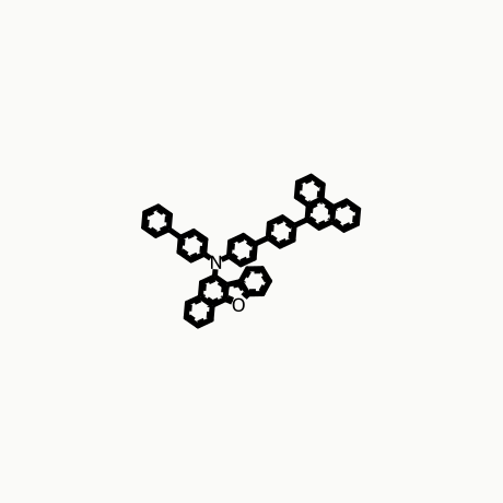 c1ccc(-c2ccc(N(c3ccc(-c4ccc(-c5cc6ccccc6c6ccccc56)cc4)cc3)c3cc4ccccc4c4oc5ccccc5c34)cc2)cc1